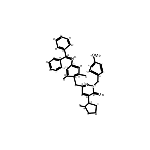 COc1ccc(Cn2nc(Cc3c(C)cc(N=C(c4ccccc4)c4ccccc4)cc3C)cc(C3CCCC3C)c2=O)cc1